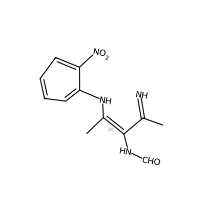 CC(=N)/C(NC=O)=C(/C)Nc1ccccc1[N+](=O)[O-]